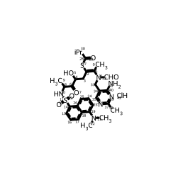 CC(=C(CC(O)C(=O)C(C)NS(=O)(=O)c1cccc2c(N(C)C)cccc12)SC(=O)C(C)C)N(C=O)Cc1cnc(C)nc1N.Cl